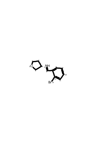 C1CCOC1.N=Cc1ccccc1Br